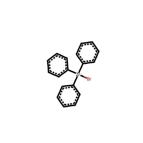 [Br][Zr]([c]1ccccc1)([c]1ccccc1)[c]1ccccc1